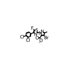 COC(=O)c1c(Br)c(C)nn1-c1nc(-c2ccc(Cl)c(Cl)c2)c(F)s1